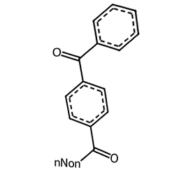 CCCCCCCCCC(=O)c1ccc(C(=O)c2ccccc2)cc1